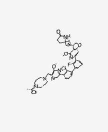 COc1nc(-c2cccc(-c3cccc(-c4cc5c(c(OC)n4)C(N4CC6(CCC(=O)N6)C4)CO5)c3F)c2Cl)cnc1CN1CCCN(C(C)=O)CCC1